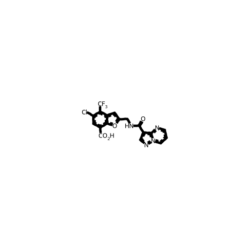 O=C(O)c1cc(Cl)c(C(F)(F)F)c2cc(CNC(=O)c3cnn4cccnc34)oc12